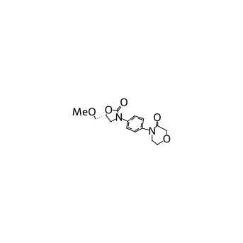 COC[C@H]1CN(c2ccc(N3CCOCC3=O)cc2)C(=O)O1